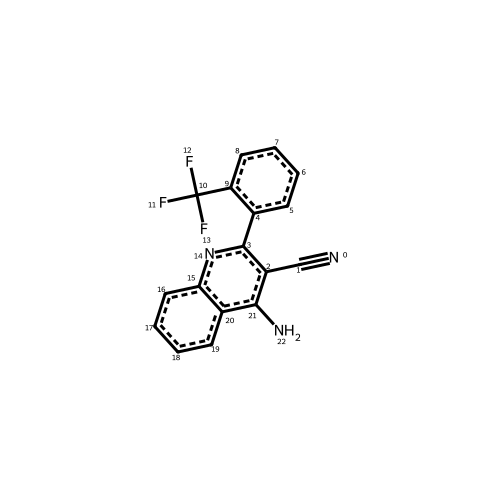 N#Cc1c(-c2ccccc2C(F)(F)F)nc2ccccc2c1N